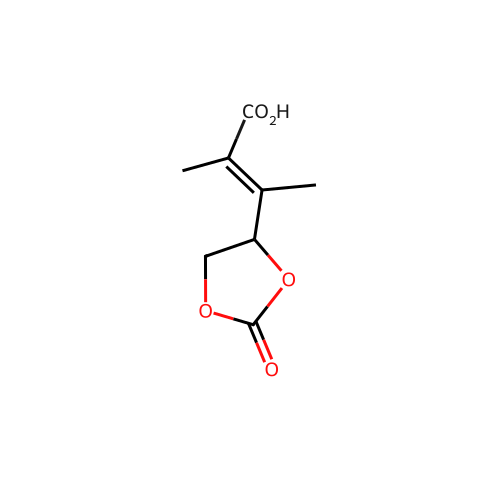 CC(C(=O)O)=C(C)C1COC(=O)O1